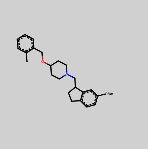 COc1ccc2c(c1)C(CN1CCC(OCc3ccccc3C)CC1)CC2